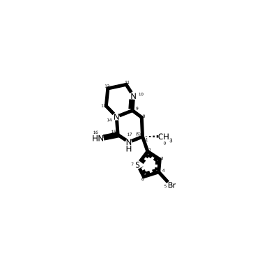 C[C@@]1(c2cc(Br)cs2)CC2=NCCCN2C(=N)N1